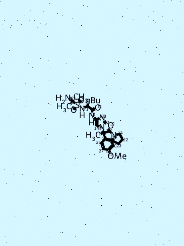 CCCCC(NS(=O)(=O)C(C)(C)N)C(=O)Nc1cn(C(C)(C(=O)N2CCCC2)c2ccc(OC)cc2)cn1